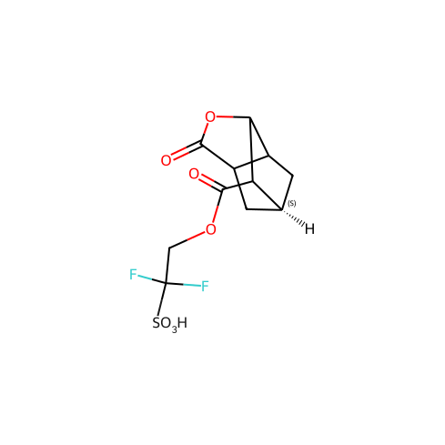 O=C1OC2C3C[C@@H](CC13)C2C(=O)OCC(F)(F)S(=O)(=O)O